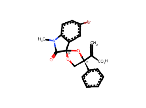 C=C(C(=O)O)[C@]1(c2ccccc2)CO[C@@]2(O1)C(=O)N(C)c1ccc(Br)cc12